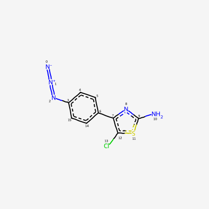 [N-]=[N+]=Nc1ccc(-c2nc(N)sc2Cl)cc1